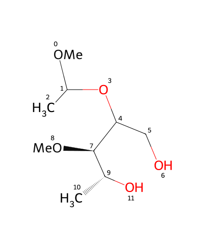 COC(C)OC(CO)[C@H](OC)[C@@H](C)O